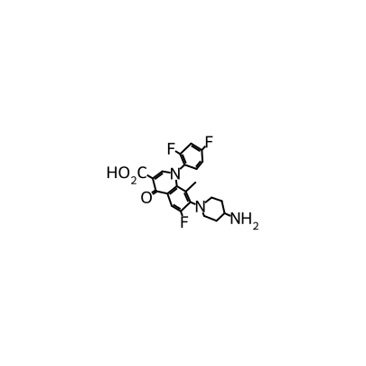 Cc1c(N2CCC(N)CC2)c(F)cc2c(=O)c(C(=O)O)cn(-c3ccc(F)cc3F)c12